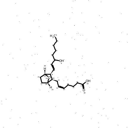 CCCCCC(O)/C=C/[C@H]1[C@@H](C/C=C\CCCC(=O)O)[C@@H]2CC[C@H]1O2